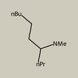 CCCCCCC(CCC)NC